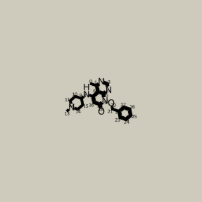 Cc1ncnc2c1c(NC1CCN(C)CC1)cc(=O)n2OCc1ccccc1